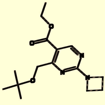 CCOC(=O)c1cnc(N2CCC2)nc1COC(C)(C)C